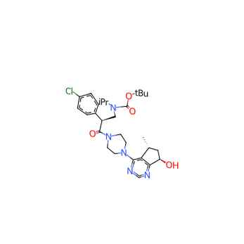 CC(C)N(C[C@@H](C(=O)N1CCN(c2ncnc3c2[C@H](C)C[C@H]3O)CC1)c1ccc(Cl)cc1)C(=O)OC(C)(C)C